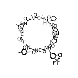 CC[C@H](C)[C@@H]1NC(=O)[C@H](C)N(C)C(=O)C[C@@H](C)NC(=O)[C@H](C2CCCC2)N(C)C(=O)C2(CCC2)NC(=O)[C@@H]2CCCN2C(=O)[C@H](CCc2ccc(C(F)(F)F)c(Cl)c2)NC(=O)CN(C)C(=O)[C@H](Cc2ccc(C)cc2)N(C)C(=O)CN(C)C(=O)CN(C)C1=O